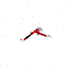 CCCCCCCCCCCC(=O)OCCCN(CCCN(C)C)CC(O)COC(=O)CCCCCCCCCCC